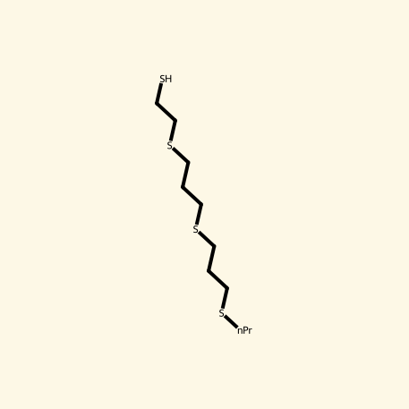 CCCSCCCSCCCSCCS